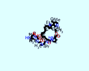 CCn1c(-c2cnccc2COC)c2c3cc(ccc31)-c1cc(O)cc(c1)C[C@H](NC(=O)[C@H](C(C)C)N(C)C(=O)CN(C)C(=O)CN1C[C@@H]3N[C@@H]3C1=O)C(=O)N1CCC[C@H](N1)C(=O)OCC(C)(C)C2